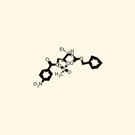 CC[C@H](NC(=O)OCc1ccccc1)[C@H](COC(=O)c1ccc([N+](=O)[O-])cc1)OS(C)(=O)=O